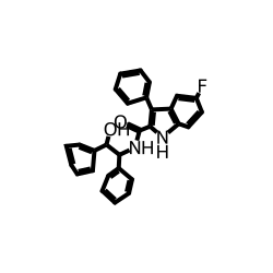 O=C(NC(c1ccccc1)C(O)c1ccccc1)c1[nH]c2ccc(F)cc2c1-c1ccccc1